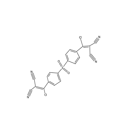 N#CC(C#N)=C(Cl)c1ccc(S(=O)(=O)c2ccc(C(Cl)=C(C#N)C#N)cc2)cc1